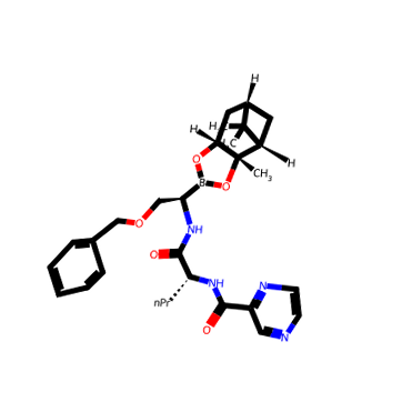 CCC[C@@H](NC(=O)c1cnccn1)C(=O)N[C@@H](COCc1ccccc1)B1O[C@@H]2C[C@@H]3C[C@@H](C3(C)C)[C@]2(C)O1